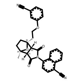 C[C@]12CC[C@](CCOc3cccc(C#N)c3)(O1)[C@@H]1C(=O)N(c3ccc(C#N)c4ccccc34)C(=O)[C@@H]12